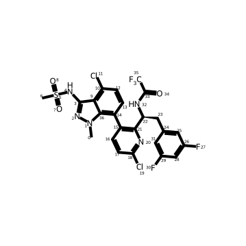 Cn1nc(NS(C)(=O)=O)c2c(Cl)ccc(-c3ccc(Cl)nc3[C@H](Cc3cc(F)cc(F)c3)NC(=O)C(F)(F)F)c21